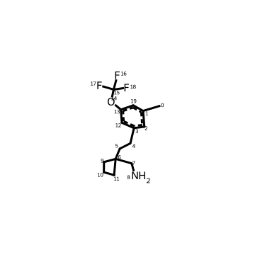 Cc1cc(CCC2(CN)CCC2)cc(OC(F)(F)F)c1